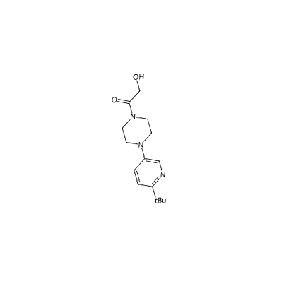 CC(C)(C)c1ccc(N2CCN(C(=O)CO)CC2)cn1